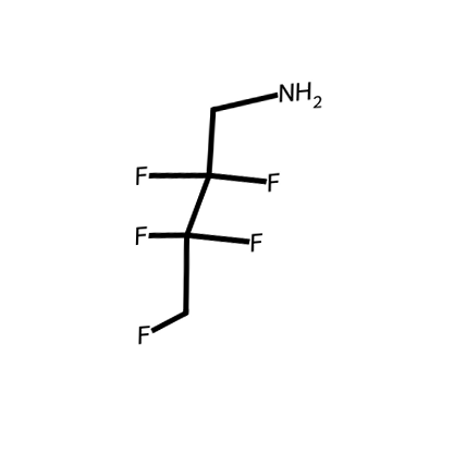 NCC(F)(F)C(F)(F)CF